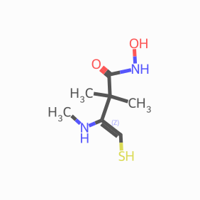 CN/C(=C\S)C(C)(C)C(=O)NO